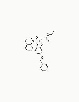 CCOC(=O)CN(Cc1cccc(OCc2ccccc2)c1)S(=O)(=O)N1CCCc2ccccc21